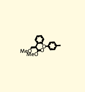 COC=C(C(=O)OC)c1ccccc1Oc1ccc(C)cc1